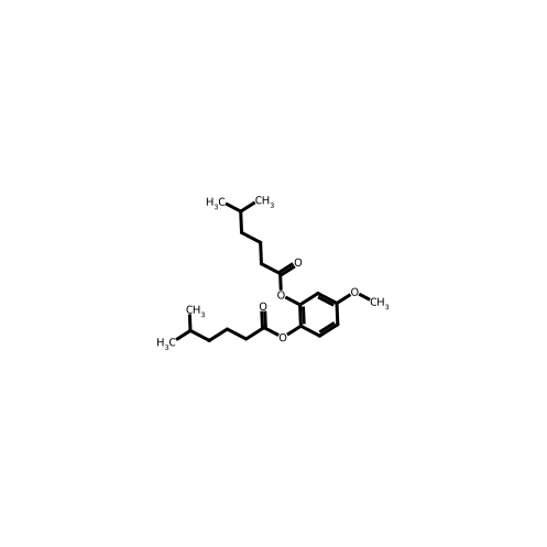 COc1ccc(OC(=O)CCCC(C)C)c(OC(=O)CCCC(C)C)c1